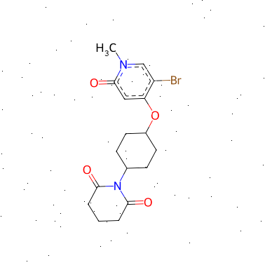 Cn1cc(Br)c(OC2CCC(N3C(=O)CCCC3=O)CC2)cc1=O